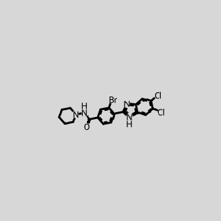 O=C(NN1CCCCC1)c1ccc(-c2nc3cc(Cl)c(Cl)cc3[nH]2)c(Br)c1